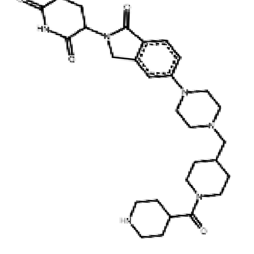 O=C1CCC(N2Cc3cc(N4CCN(CC5CCN(C(=O)C6CCNCC6)CC5)CC4)ccc3C2=O)C(=O)N1